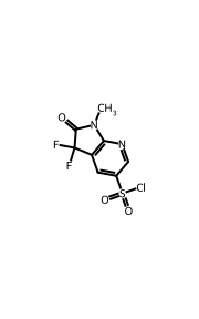 CN1C(=O)C(F)(F)c2cc(S(=O)(=O)Cl)cnc21